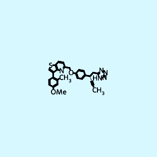 CC#C[C@@H](Cc1nnn[nH]1)c1ccc(OCc2ccc3scc(-c4ccc(OC)cc4C)c3n2)cc1